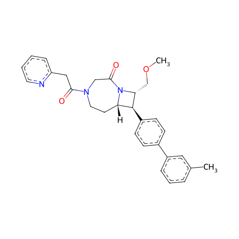 COC[C@@H]1[C@@H](c2ccc(-c3cccc(C)c3)cc2)[C@@H]2CCN(C(=O)Cc3ccccn3)CC(=O)N12